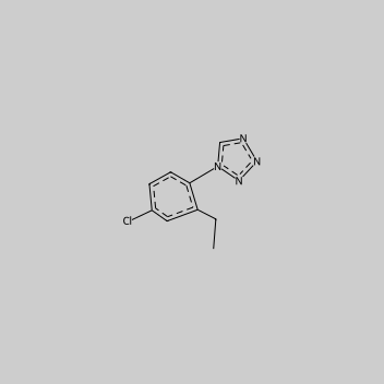 CCc1cc(Cl)ccc1-n1cnnn1